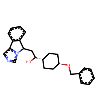 OC(CC1c2ccccc2-c2cncn21)[C@H]1CC[C@H](OCc2ccccc2)CC1